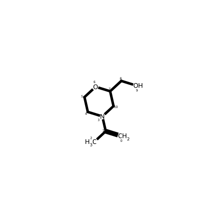 C=C(C)N1CCOC(CO)C1